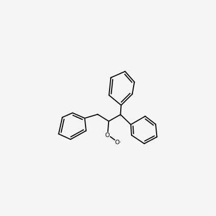 [O]OC(Cc1ccccc1)[C](c1ccccc1)c1ccccc1